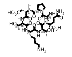 C[C@H](N)C(=O)N1CCC[C@H]1C(=O)N[C@@H](CC(=O)O)C(=O)N[C@H](C(=O)N[C@@H](CCCCN)C(=O)N[C@H](C(=O)N[C@@H](CCC(N)=O)C(=O)O)[C@@H](C)O)[C@@H](C)O